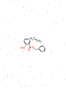 C=C.O=C(OCc1ccccc1)c1ccccc1O